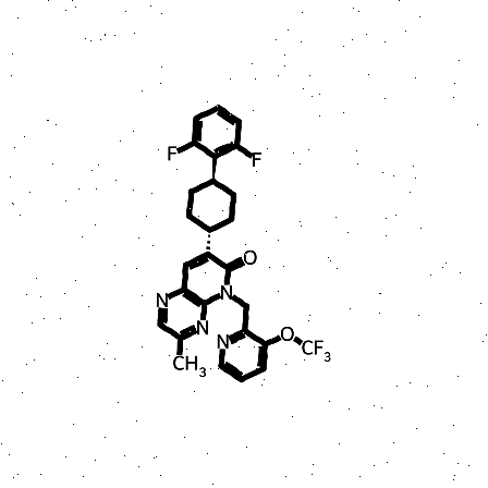 Cc1cnc2cc([C@H]3CC[C@H](c4c(F)cccc4F)CC3)c(=O)n(Cc3ncccc3OC(F)(F)F)c2n1